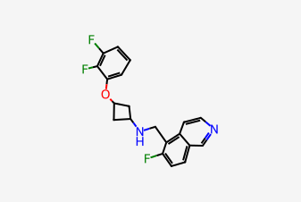 Fc1cccc(OC2CC(NCc3c(F)ccc4cnccc34)C2)c1F